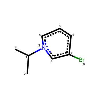 CC(C)[n+]1cccc(Br)c1